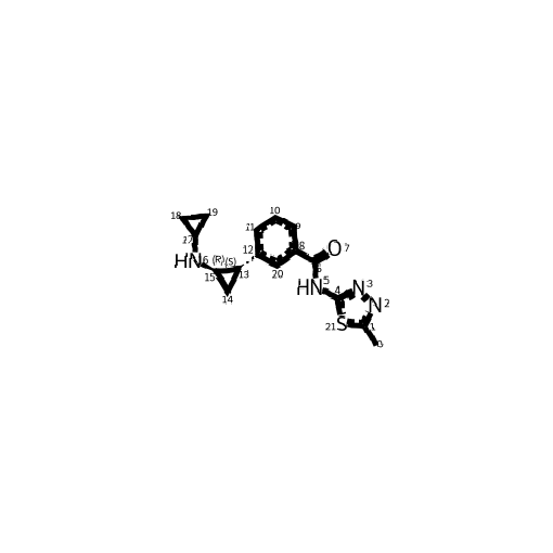 Cc1nnc(NC(=O)c2cccc([C@@H]3C[C@H]3NC3CC3)c2)s1